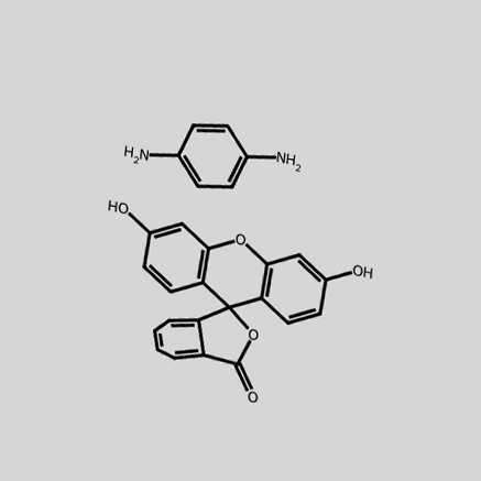 Nc1ccc(N)cc1.O=C1OC2(c3ccc(O)cc3Oc3cc(O)ccc32)c2ccccc21